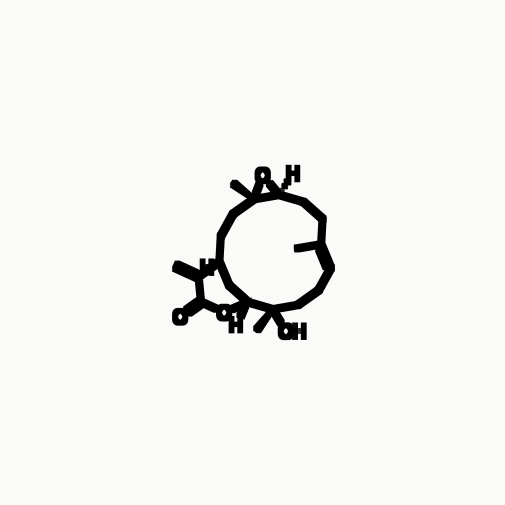 C=C1C(=O)O[C@@H]2C[C@H]1CC[C@]1(C)O[C@H]1CC/C(C)=C/CC[C@]2(C)O